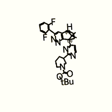 CC(C)(C)OC(=O)N1CCCC(c2nccc([C@@]34CC[C@@H](c5cc(-c6c(F)cccc6F)nnc53)C4(C)C)n2)C1